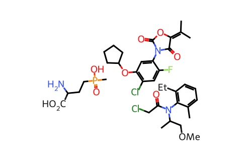 CC(C)=C1OC(=O)N(c2cc(OC3CCCC3)c(Cl)cc2F)C1=O.CCc1cccc(C)c1N(C(=O)CCl)C(C)COC.CP(=O)(O)CCC(N)C(=O)O